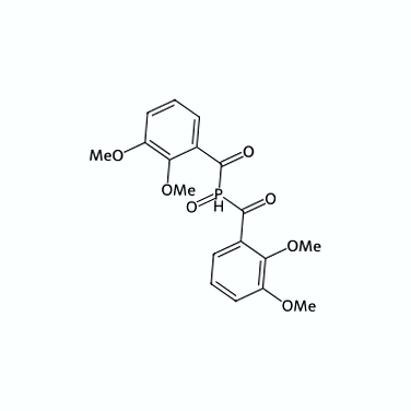 COc1cccc(C(=O)[PH](=O)C(=O)c2cccc(OC)c2OC)c1OC